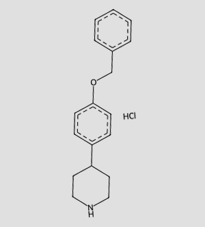 Cl.c1ccc(COc2ccc(C3CCNCC3)cc2)cc1